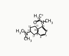 CC(=O)N(C)c1cccc2c1CCC(N(C)C)C2